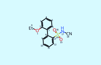 CCOc1ccccc1-c1ccccc1S(=O)(=O)NC#N